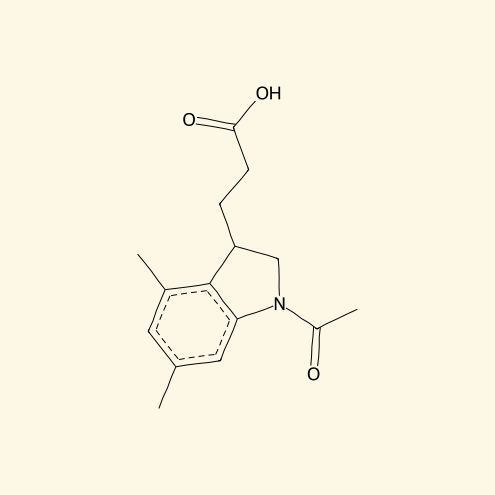 CC(=O)N1CC(CCC(=O)O)c2c(C)cc(C)cc21